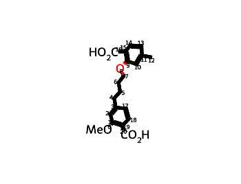 COc1cc(CCCCOc2cc(C)ccc2C(=O)O)ccc1C(=O)O